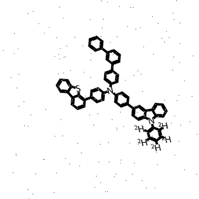 [2H]c1c([2H])c([2H])c(-n2c3ccccc3c3cc(-c4ccc(N(c5ccc(-c6cccc(-c7ccccc7)c6)cc5)c5ccc(-c6cccc7c6sc6ccccc67)cc5)cc4)ccc32)c([2H])c1[2H]